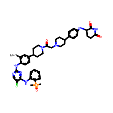 COc1cc(C2CCN(C(=O)CN3CCC(c4ccc(NC5CCC(=O)NC5=O)cc4)CC3)CC2)ccc1Nc1ncc(Cl)c(Nc2ccccc2P(C)(C)=O)n1